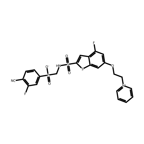 N#Cc1ccc(P(=O)([O-])CNS(=O)(=O)c2cc3c(F)cc(OCC[n+]4ccccc4)cc3s2)cc1F